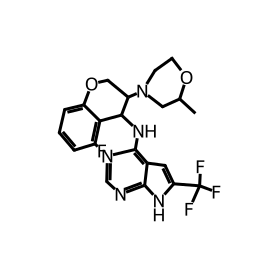 CC1CN(C2COc3cccc(F)c3C2Nc2ncnc3[nH]c(C(F)(F)F)cc23)CCO1